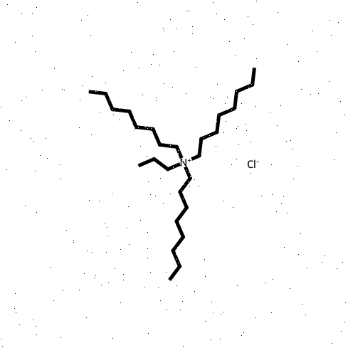 CCCCCCCC[N+](CCC)(CCCCCCCC)CCCCCCCC.[Cl-]